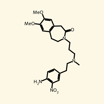 COc1cc2c(cc1OC)CC(=O)N(CCCN(C)CCc1ccc(N)c([N+](=O)[O-])c1)CC2